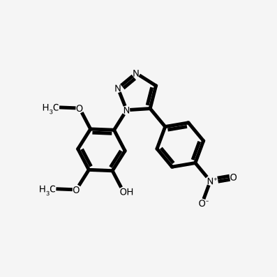 COc1cc(OC)c(-n2nncc2-c2ccc([N+](=O)[O-])cc2)cc1O